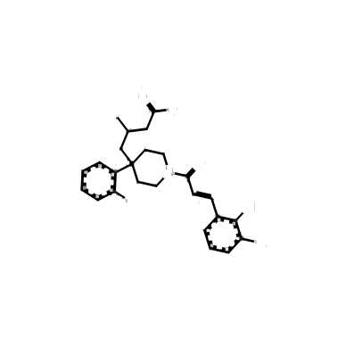 CC(CC(=O)O)CC1(c2ccccc2Cl)CCN(C(=O)/C=C/c2cccc(Cl)c2Cl)CC1